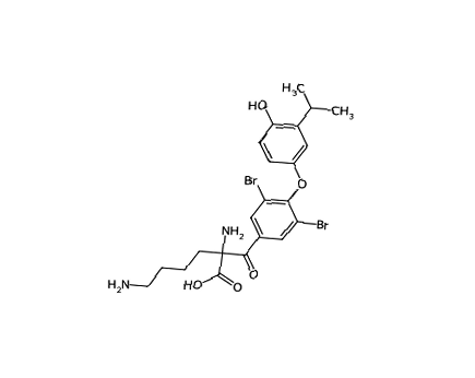 CC(C)c1cc(Oc2c(Br)cc(C(=O)C(N)(CCCCN)C(=O)O)cc2Br)ccc1O